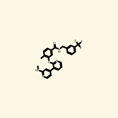 CNc1cc(-c2cccnc2Oc2cc(C(=O)NCc3cccc(C(F)(F)F)c3)ccc2C)ccn1